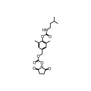 Cc1cc(COC(=O)ON2C(=O)CCC2=O)cc(C)c1OC(=O)NCCC(C)C